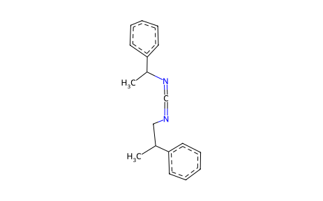 CC(CN=C=NC(C)c1ccccc1)c1ccccc1